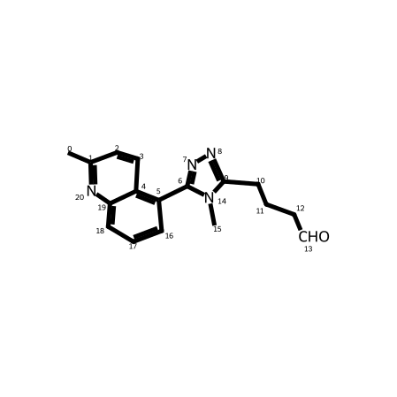 Cc1ccc2c(-c3nnc(CCCC=O)n3C)cccc2n1